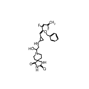 C=C(F)/C=C(F)\C(=C\C1CC1NCC(O)N1CCC2(CC1)NC(=O)NC2=O)OCc1ccccc1